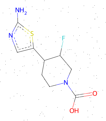 Nc1ncc(C2CCN(C(=O)O)CC2F)s1